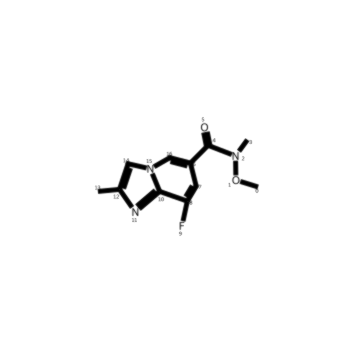 CON(C)C(=O)c1cc(F)c2nc(C)cn2c1